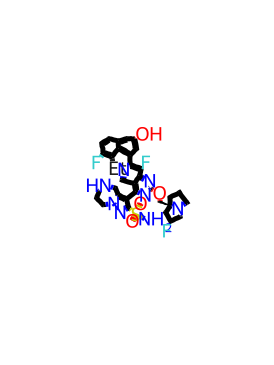 CCc1c(F)ccc2cc(O)cc(-c3ncc4c(-c5c(S(N)(=O)=O)nn6c5CNCCC6)nc(OC[C@@]56CCCN5C[C@H](F)C6)nc4c3F)c12